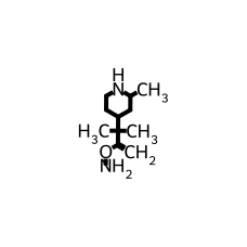 C=C(ON)C(C)(C)C1CCNC(C)C1